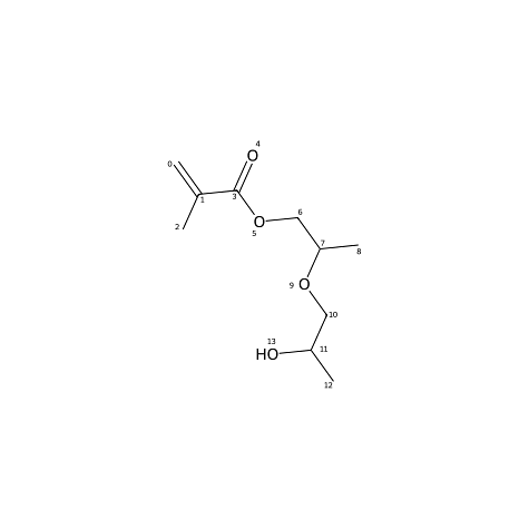 C=C(C)C(=O)OCC(C)OCC(C)O